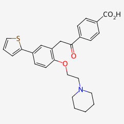 O=C(O)c1ccc(C(=O)Cc2cc(-c3cccs3)ccc2OCCN2CCCCC2)cc1